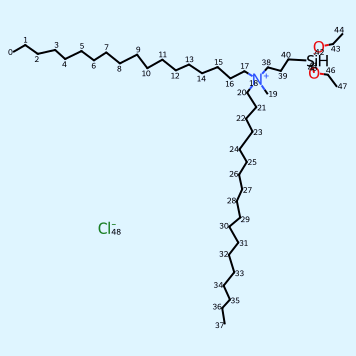 CCCCCCCCCCCCCCCCCC[N+](C)(CCCCCCCCCCCCCCCCCC)CCC[SiH](OCC)OCC.[Cl-]